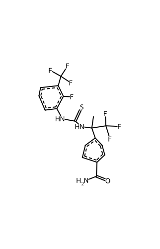 CC(NC(=S)Nc1cccc(C(F)(F)F)c1F)(c1ccc(C(N)=O)cc1)C(F)(F)F